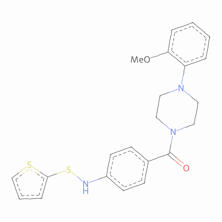 COc1ccccc1N1CCN(C(=O)c2ccc(NSc3cccs3)cc2)CC1